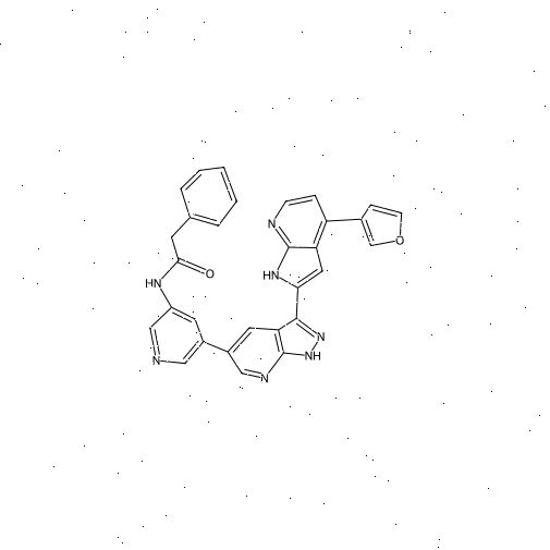 O=C(Cc1ccccc1)Nc1cncc(-c2cnc3[nH]nc(-c4cc5c(-c6ccoc6)ccnc5[nH]4)c3c2)c1